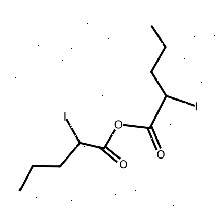 CCCC(I)C(=O)OC(=O)C(I)CCC